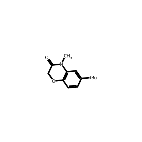 CN1C(=O)COc2ccc(C(C)(C)C)cc21